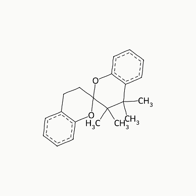 CC1(C)c2ccccc2OC2(CCc3ccccc3O2)C1(C)C